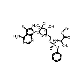 CC(C)OC(=O)C(C)NP(=O)(OC[C@H]1O[C@@H](n2cc(F)c3c(N)ncnc32)[C@](C)(Cl)[C@@H]1O)Oc1ccccc1